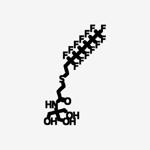 O=C(CCSCCC(F)(F)C(F)(F)C(F)(F)C(F)(F)C(F)(F)C(F)(F)F)NC(CO)(CO)CO